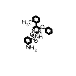 Cc1ccccc1-c1cnc(NS(=O)(=O)c2cccc(N)c2)nc1Oc1ccccc1